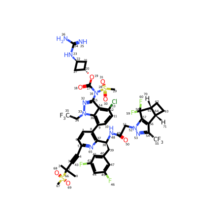 CC(C)(C#Cc1ccc(-c2ccc(Cl)c3c(N(C(=O)O[C@H]4C[C@H](NC(=N)N)C4)S(C)(=O)=O)nn(CC(F)(F)F)c23)c([C@H](Cc2cc(F)cc(F)c2)NC(=O)Cn2nc(C(F)(F)F)c3c2C(F)(F)[C@@H]2CC[C@H]32)n1)S(C)(=O)=O